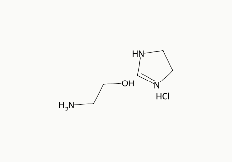 C1=NCCN1.Cl.NCCO